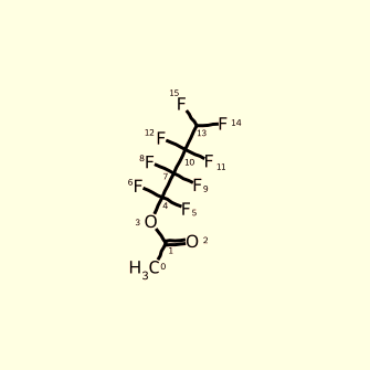 CC(=O)OC(F)(F)C(F)(F)C(F)(F)C(F)F